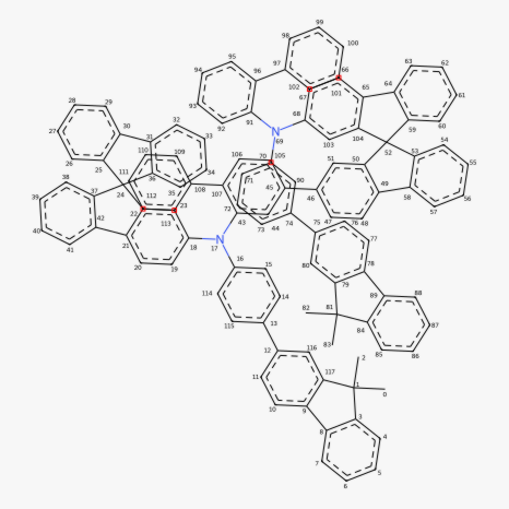 CC1(C)c2ccccc2-c2ccc(-c3ccc(N(c4ccc5c(c4)C4(c6ccccc6-c6ccccc64)c4ccccc4-5)c4cc(-c5ccc6c(c5)C5(c7ccccc7-6)c6ccccc6-c6ccc(N(c7cccc(-c8ccc9c(c8)C(C)(C)c8ccccc8-9)c7)c7ccccc7-c7ccccc7)cc65)ccc4-c4ccccc4)cc3)cc21